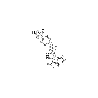 NS(=O)(=O)c1ccc([C@@H]2C[C@H]2c2nc(C3(c4ccccc4)CC3)no2)cc1